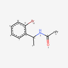 CCCC(=O)NC(C)c1ccccc1Br